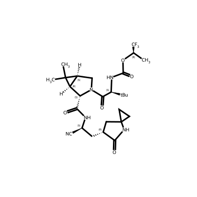 C[C@@H](OC(=O)N[C@H](C(=O)N1C[C@H]2[C@@H]([C@H]1C(=O)N[C@H](C#N)C[C@@H]1CC3(CC3)NC1=O)C2(C)C)C(C)(C)C)C(F)(F)F